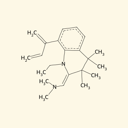 C=CC(=C)c1cccc2c1N(CC)/C(=C\N(C)C)C(C)(C)C2(C)C